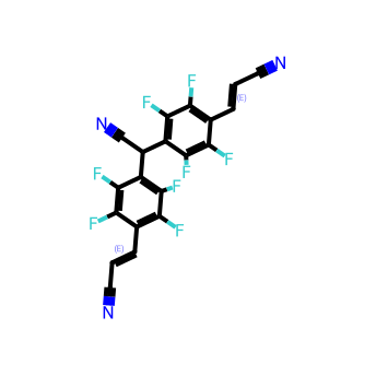 N#C/C=C/c1c(F)c(F)c(C(C#N)c2c(F)c(F)c(/C=C/C#N)c(F)c2F)c(F)c1F